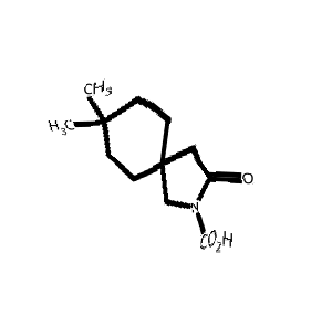 CC1(C)CCC2(CC1)CC(=O)N(C(=O)O)C2